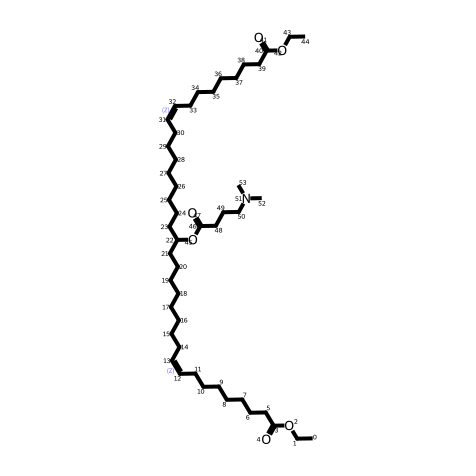 CCOC(=O)CCCCCCC/C=C\CCCCCCCCC(CCCCCCCC/C=C\CCCCCCCC(=O)OCC)OC(=O)CCCN(C)C